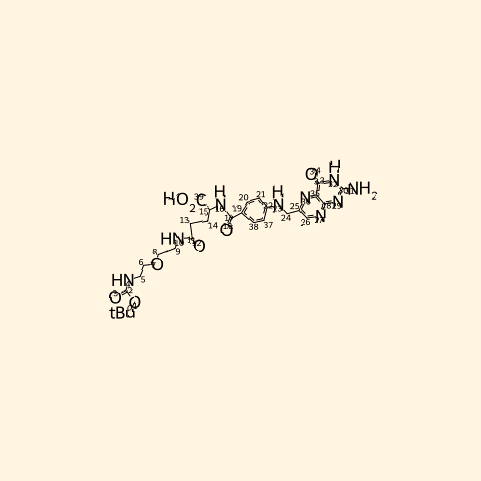 CC(C)(C)OC(=O)NCCOCCNC(=O)CCC(NC(=O)c1ccc(NCc2cnc3nc(N)[nH]c(=O)c3n2)cc1)C(=O)O